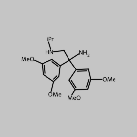 COc1cc(OC)cc(C(N)(CNC(C)C)c2cc(OC)cc(OC)c2)c1